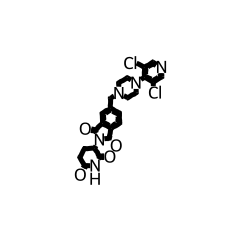 O=C1CCC(N2C(=O)c3ccc(CN4CCN(c5c(Cl)cncc5Cl)CC4)cc3C2=O)C(=O)N1